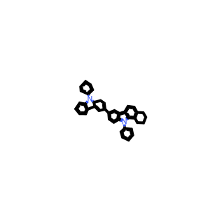 C1=C(c2ccc3c(c2)c2ccc4c(c2n3-c2ccccc2)CCCC4)C=C2c3ccccc3N(c3ccccc3)C2C1